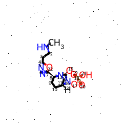 CNCCc1nnc([C@@H]2CC[C@@H]3CN2C(=O)N3OS(=O)(=O)O)o1